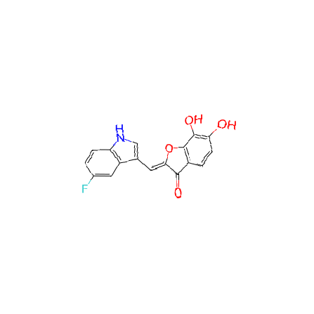 O=C1C(=Cc2c[nH]c3ccc(F)cc23)Oc2c1ccc(O)c2O